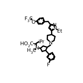 CCn1nc(Cc2ccc(OC(F)(F)F)cc2)cc1C1CCN(CC2CC(N(C)[C@@H](C(=O)O)C(C)C)CC2c2cccc(F)c2)CC1